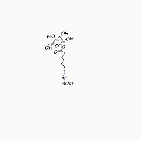 CCCCCCCC/C=C/CCCCCCCC(=O)OC1O[C@H](CO)[C@@H](O)[C@H](O)[C@H]1O